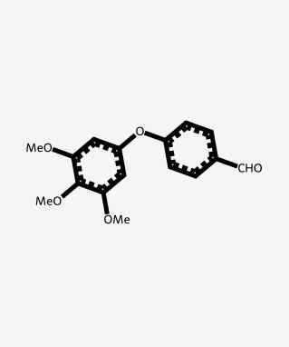 COc1cc(Oc2ccc(C=O)cc2)cc(OC)c1OC